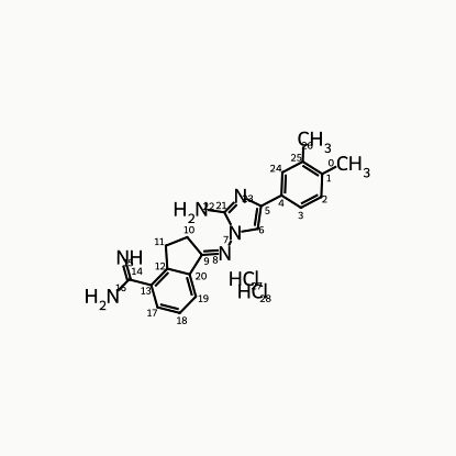 Cc1ccc(-c2cn(N=C3CCc4c(C(=N)N)cccc43)c(N)n2)cc1C.Cl.Cl